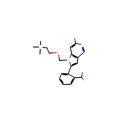 C[Si](C)(C)CCOCn1c(-c2ccccc2C(F)F)cc2cnc(Cl)cc21